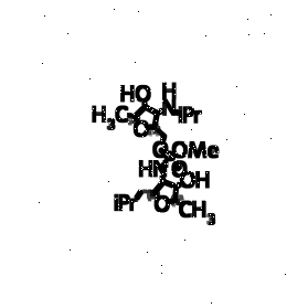 COP(=O)(NC1C(O)[C@H](C)O[C@@H]1CC(C)C)OC[C@H]1O[C@@H](C)C(O)C1NC(C)C